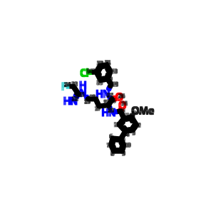 COc1ccc(-c2ccccc2)cc1C(=O)NC(CCCNC(=N)CF)C(=O)NCc1cccc(Cl)c1